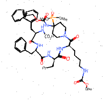 COP(=O)(OC)C1(NC(=O)OCc2ccccc2)CCN(C(=O)[C@@H](CCCCNC(=O)OC(C)(C)C)NC(=O)[C@@H](CC(C)C)NC(=O)[C@@H](Cc2ccccc2)NC(=O)[C@@H](Cc2ccccc2)NC(=O)O)CC1